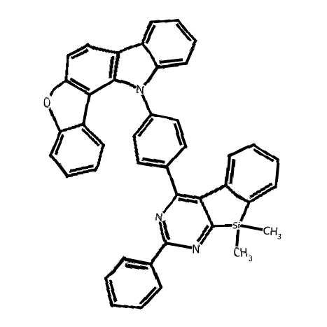 C[Si]1(C)c2ccccc2-c2c(-c3ccc(-n4c5ccccc5c5ccc6oc7ccccc7c6c54)cc3)nc(-c3ccccc3)nc21